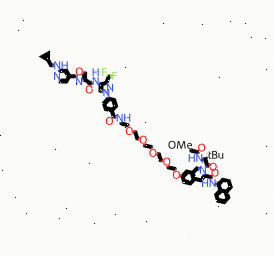 COCC(=O)N[C@H](C(=O)N1Cc2cc(OCCOCCOCCOCCOCCNC(=O)c3ccc(-n4cc(NC(=O)c5coc(-c6ccnc(NCC7CC7)c6)n5)c(C(F)F)n4)cc3)ccc2CC1C(=O)N[C@@H]1CCCc2ccccc21)C(C)(C)C